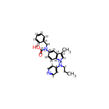 CCCN(c1ccncc1)n1cc(C)c2cc(N(Cc3ccccc3)C(=O)O)ccc21